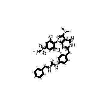 CN(C)c1nn(-c2c(Cl)cc(S(N)(=O)=O)cc2Cl)c2nc(Cc3ccc(NC(=O)NCc4ccccc4)cc3)[nH]c(=O)c12